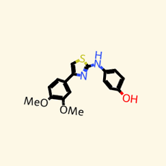 COc1ccc(-c2csc(Nc3ccc(O)cc3)n2)cc1OC